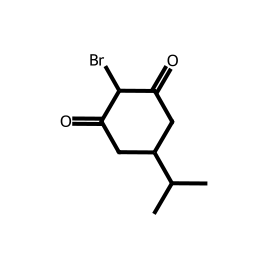 CC(C)C1CC(=O)C(Br)C(=O)C1